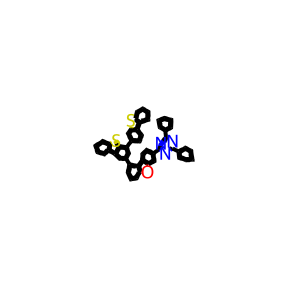 c1ccc(-c2nc(-c3ccccc3)nc(-c3ccc4c(c3)oc3cccc(-c5cc(-c6ccc7c(c6)sc6ccccc67)c6sc7ccccc7c6c5)c34)n2)cc1